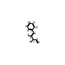 C=CC(C)/C(C)=C/c1ccccc1